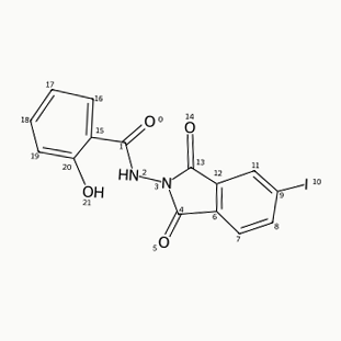 O=C(NN1C(=O)c2ccc(I)cc2C1=O)c1ccccc1O